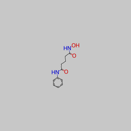 O=C(CCCC(=O)Nc1ccccc1)NO